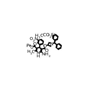 CC1=C(C(=O)OC(C)C)C(c2cccc([N+](=O)[O-])c2)C(C(=O)OC2CN(C(c3ccccc3)c3ccccc3)C2)=C(N)N1.CCOC(C)=O